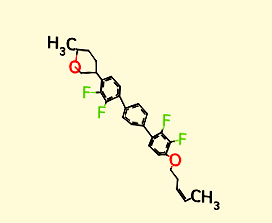 C/C=C\CCOc1ccc(-c2ccc(-c3ccc(C4CCC(C)OC4)c(F)c3F)cc2)c(F)c1F